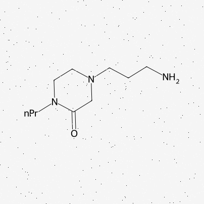 CCCN1CCN(CCCN)CC1=O